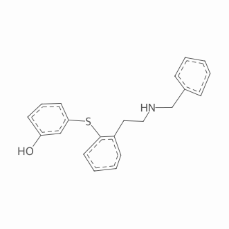 Oc1cccc(Sc2ccccc2CCNCc2ccccc2)c1